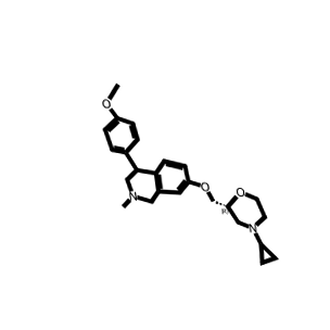 COc1ccc(C2CN(C)Cc3cc(OC[C@H]4CN(C5CC5)CCO4)ccc32)cc1